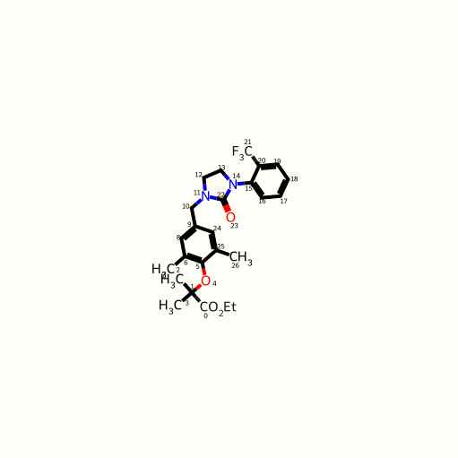 CCOC(=O)C(C)(C)Oc1c(C)cc(CN2CCN(c3ccccc3C(F)(F)F)C2=O)cc1C